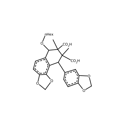 CCCCCCOC1c2ccc3c(c2C(c2ccc4c(c2)OCO4)C(C)(C(=O)O)C1(C)C(=O)O)OCO3